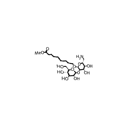 COC(=O)CCCCCCCCO[C@H]1O[C@H](CN)[C@@H](O)[C@H](O)[C@H]1O[C@@H]1O[C@H](CO)[C@@H](O)[C@H](O)[C@H]1O